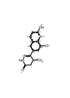 CC1CC(=O)NN=C1c1cc(Cl)c2nc(O)ccc2c1